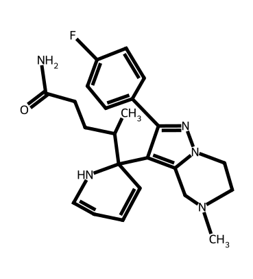 CC(CCC(N)=O)C1(c2c(-c3ccc(F)cc3)nn3c2CN(C)CC3)C=CC=CN1